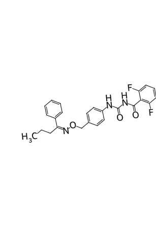 CCCC(=NOCc1ccc(NC(=O)NC(=O)c2c(F)cccc2F)cc1)c1ccccc1